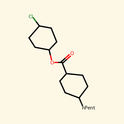 CCCCCC1CCC(C(=O)OC2CCC(Cl)CC2)CC1